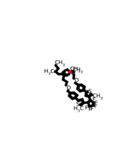 C/C=C1\CC2CC1C(CCCOCc1ccc(-c3cc(C4=C(c5cc(-c6ccc(COCCCC)cc6)sc5C)C(F)(F)C(F)(F)C4(F)F)c(C)s3)cc1)C2CC(C)CCC